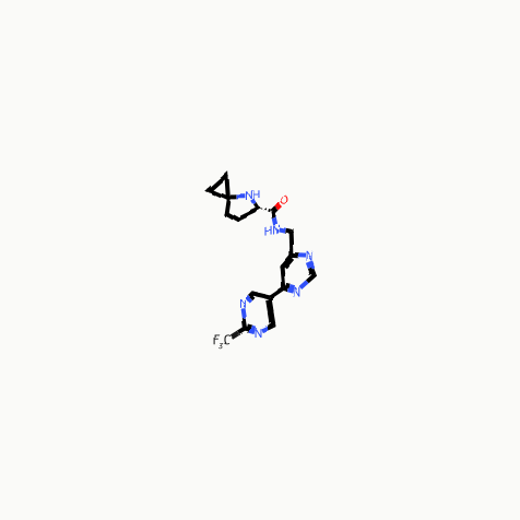 O=C(NCc1cc(-c2cnc(C(F)(F)F)nc2)ncn1)[C@@H]1CCC2(CC2)N1